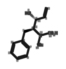 C=C[C@@H](O)[C@H](Cc1ccccc1)N(C(=O)O)C(C)(C)C